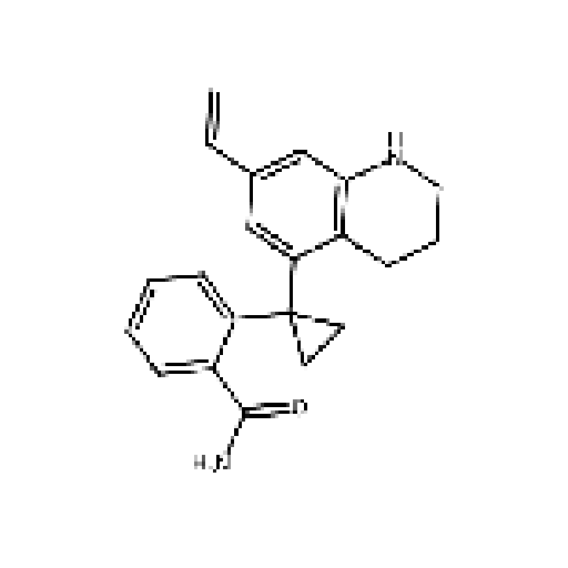 C=Cc1cc2c(c(C3(c4ccccc4C(N)=O)CC3)c1)CCCN2